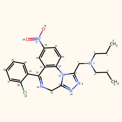 CCCN(CCC)Cc1nnc2n1-c1ccc([N+](=O)[O-])cc1C(c1ccccc1Cl)=NC2